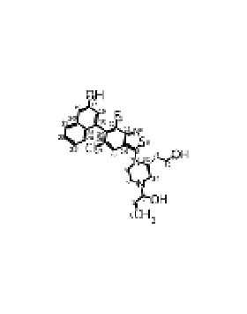 C=CC(O)N1CCN(c2snc3c(F)c(-c4cc(O)cc5ccccc45)c(Cl)cc23)[C@H](CCO)C1